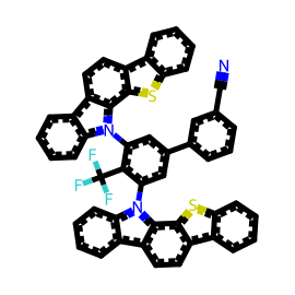 N#Cc1cccc(-c2cc(-n3c4ccccc4c4ccc5c6ccccc6sc5c43)c(C(F)(F)F)c(-n3c4ccccc4c4ccc5c6ccccc6sc5c43)c2)c1